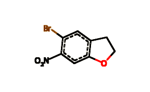 O=[N+]([O-])c1cc2c(cc1Br)CCO2